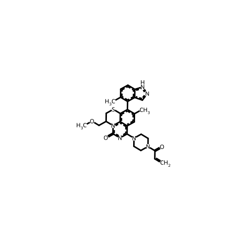 C=CC(=O)N1CCN(c2nc(=O)n3c4c(c(-c5c(C)ccc6[nH]ncc56)c(C)cc24)SCC3COC)CC1